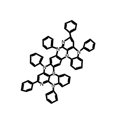 c1ccc(-c2cc3c4c(n2)N(c2ccccc2)c2ccccc2B4c2cc4c(cc2N3c2ccccc2)N(c2ccccc2)c2nc(-c3ccccc3)cc3c2N4c2ccccc2N3c2ccccc2)cc1